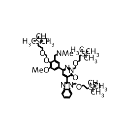 CNCc1cc(-c2cc(-c3nc4ccccc4n3COCC[Si](C)(C)C)c(=O)n(COCC[Si](C)(C)C)n2)cc(OC)c1OCOCC[Si](C)(C)C